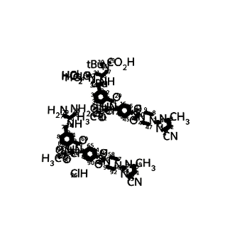 Cc1cc(C#N)nc(N2CCN(S(=O)(=O)c3ccc(NC(=O)c4cc(CNC(CN(C(=O)O)C(C)(C)C)CN(C(=O)O)C(C)(C)C)ccc4N(C)S(C)(=O)=O)cc3)CC2)n1.Cc1cc(C#N)nc(N2CCN(S(=O)(=O)c3ccc(NC(=O)c4cc(CNC(CN)CN)ccc4N(C)S(C)(=O)=O)cc3)CC2)n1.Cl.Cl.Cl